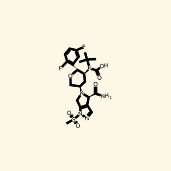 CC(C)(C)N(C(=O)O)[C@H]1C[C@@H](N2Cc3c(cnn3S(C)(=O)=O)[C@@H]2C(N)=O)CO[C@@H]1c1cc(F)ccc1F